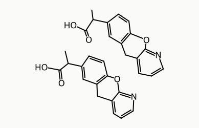 CC(C(=O)O)c1ccc2c(c1)Cc1cccnc1O2.CC(C(=O)O)c1ccc2c(c1)Cc1cccnc1O2